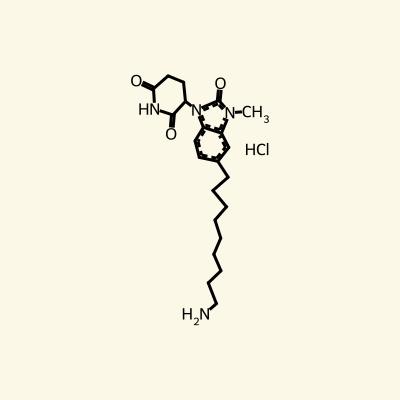 Cl.Cn1c(=O)n(C2CCC(=O)NC2=O)c2ccc(CCCCCCCCCN)cc21